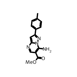 COC(=O)c1cnc2cc(-c3ccc(C)cc3)nn2c1N